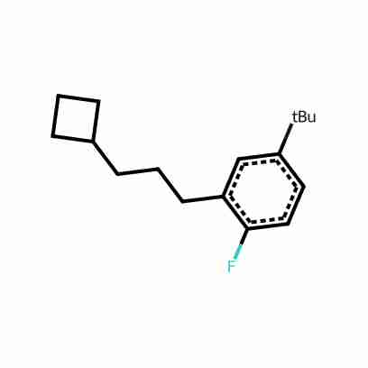 CC(C)(C)c1ccc(F)c(CCCC2CCC2)c1